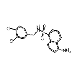 Nc1cccc2c(S(=O)(=O)NCc3ccc(Cl)c(Cl)c3)cccc12